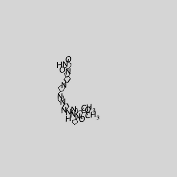 CC(=O)c1c(C)c2cnc(Nc3ccc(N4CCN(CC5CCN(c6ccc7c(c6)CN(C6CCC(=O)NC6=O)C7)CC5)CC4)cn3)nc2n(C2CCCC2)c1=O